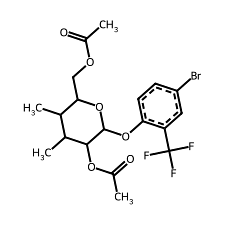 CC(=O)OCC1OC(Oc2ccc(Br)cc2C(F)(F)F)C(OC(C)=O)C(C)C1C